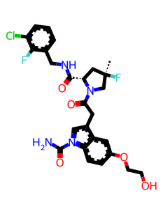 C[C@@]1(F)C[C@@H](C(=O)NCc2cccc(Cl)c2F)N(C(=O)Cc2cn(C(N)=O)c3ccc(OCCO)cc23)C1